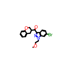 COCCn1nc(C(=O)C2COc3ccccc3C2)c2ccc(Br)cc21